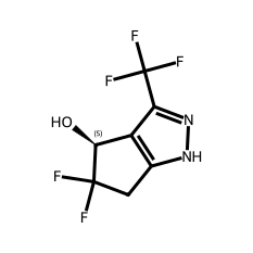 O[C@H]1c2c(C(F)(F)F)n[nH]c2CC1(F)F